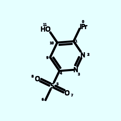 CC(C)c1nnc(S(C)(=O)=O)cc1O